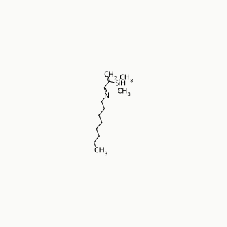 C=C(C=NCCCCCCCC)[SiH](C)C